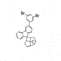 Brc1cc(Br)cc(-c2ccc3c(c2)-c2ccccc2C32C3CC4CC5CC2C3(C4)C5)c1